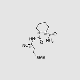 CSCC[C@@H](C#N)NC(=O)[C@@H]1CCCC[C@@H]1C(N)=O